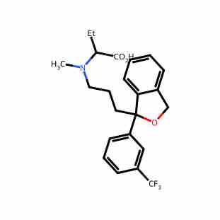 CCC(C(=O)O)N(C)CCCC1(c2cccc(C(F)(F)F)c2)OCc2ccccc21